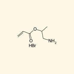 Br.C=CC(=O)OC(C)CN